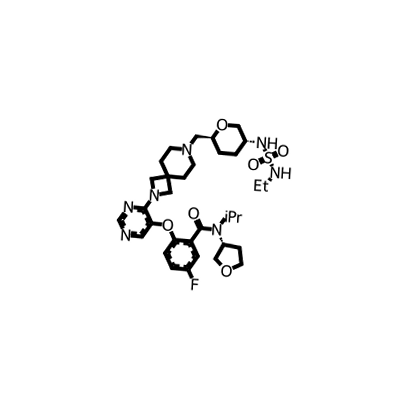 CCNS(=O)(=O)N[C@@H]1CC[C@@H](CN2CCC3(CC2)CN(c2ncncc2Oc2ccc(F)cc2C(=O)N(C(C)C)[C@@H]2CCOC2)C3)OC1